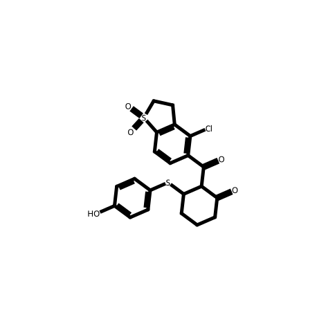 O=C1CCCC(Sc2ccc(O)cc2)C1C(=O)c1ccc2c(c1Cl)CCS2(=O)=O